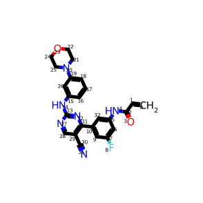 C=CC(=O)Nc1cc(F)cc(-c2nc(Nc3cccc(N4CCOCC4)c3)ncc2C#N)c1